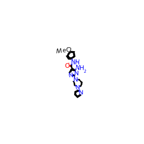 COc1ccc(NC(=O)c2cnc(N3CCCN(c4ccccn4)CC3)nc2N)cc1